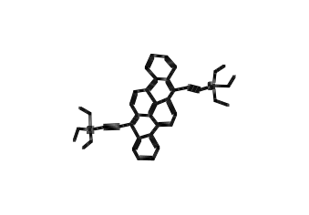 CC[Si](C#Cc1c2ccccc2c2ccc3c(C#C[Si](CC)(CC)CC)c4ccccc4c4ccc1c2c34)(CC)CC